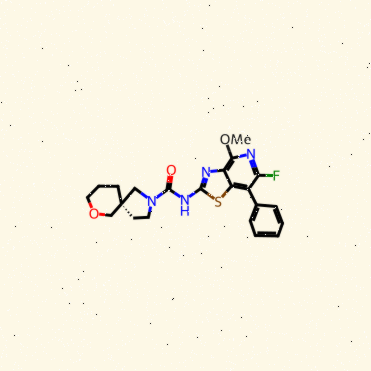 COc1nc(F)c(-c2ccccc2)c2sc(NC(=O)N3CC[C@]4(CCCOC4)C3)nc12